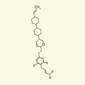 C/C=C/C1CCC(C2CCC(C3COC(CCc4cc(F)c(C/C=C/C(F)F)c(F)c4)OC3)CC2)CC1